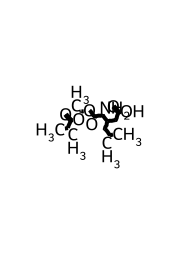 CC(C)CC(CC(=O)O)C(N)C(=O)OC(C)OC(=O)C(C)C